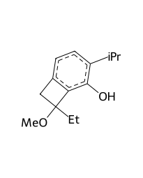 CCC1(OC)Cc2ccc(C(C)C)c(O)c21